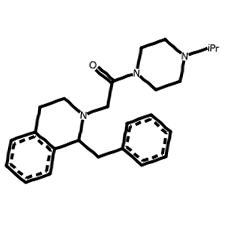 CC(C)N1CCN(C(=O)CN2CCc3ccccc3C2Cc2ccccc2)CC1